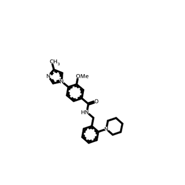 COc1cc(C(=O)NCc2ccccc2N2CCCCC2)ccc1-n1cnc(C)c1